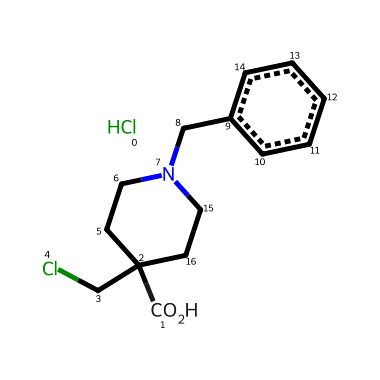 Cl.O=C(O)C1(CCl)CCN(Cc2ccccc2)CC1